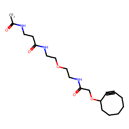 O=C(CCNC(=O)C(F)(F)F)NCCOCCNC(=O)COC1C#CCCCCC1